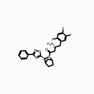 N[C@@H](CC(=O)N1C2CCC(C2)[C@H]1c1nc(-c2ccccc2)no1)Cc1cc(F)c(F)cc1F